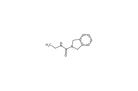 CCNC(=O)N1Cc2ccccc2C1